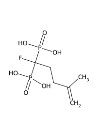 C=C(C)CCC(F)(P(=O)(O)O)P(=O)(O)O